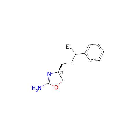 CCC(CC[C@H]1COC(N)=N1)c1ccccc1